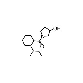 CCC(C)C1CCCCC1C(=O)N1CCC(O)C1